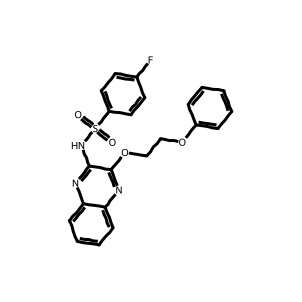 O=S(=O)(Nc1nc2ccccc2nc1OCCOc1ccccc1)c1ccc(F)cc1